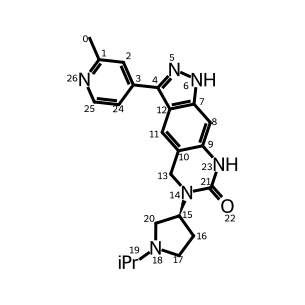 Cc1cc(-c2n[nH]c3cc4c(cc23)CN([C@H]2CCN(C(C)C)C2)C(=O)N4)ccn1